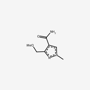 COCc1nn(C)cc1C(N)=O